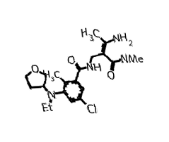 CCN(c1cc(Cl)cc(C(=O)NC/C(C(=O)NC)=C(\C)N)c1C)C1CCOC1